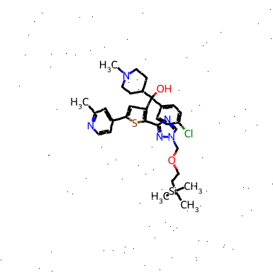 Cc1cc(-c2cc(C(O)(c3ccc(Cl)cc3)C3CCN(C)CC3)c(-c3ncn(COCC[Si](C)(C)C)n3)s2)ccn1